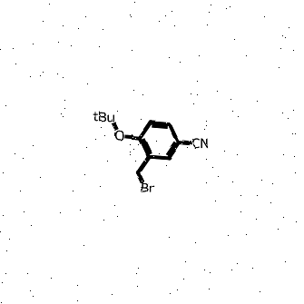 CC(C)(C)Oc1ccc(C#N)cc1CBr